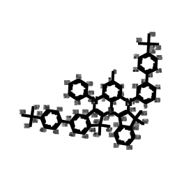 Cc1cc2c3c(c1)N(c1cccc(-c4ccc(C(C)(C)C)cc4)c1)C1=C(B3C3=C(c4cc(-c5ccc(C(C)(C)C)cc5)ccc4C3(C)C)N2c2ccccc2)c2ccccc2C1(C)C